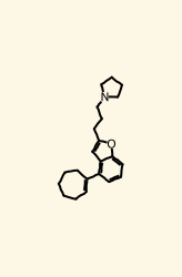 C1=C(c2cccc3oc(CCCN4CCCC4)cc23)CCCCC1